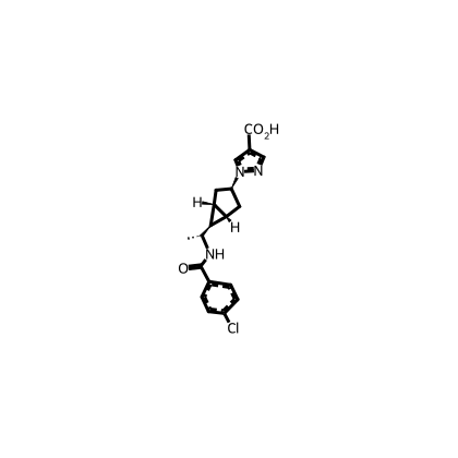 C[C@@H](NC(=O)c1ccc(Cl)cc1)[C@H]1[C@@H]2C[C@@H](n3cc(C(=O)O)cn3)C[C@@H]21